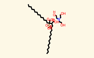 CCCCCCCCCCCCCCC(C(=O)O)C(CCCCCCCCCCCCCC)(C(=O)O)S(=O)(=O)O.OCCN(CCO)CCO